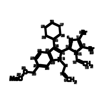 C=CCn1c(-c2nc(Br)c(Br)n2C=C)c(C2CCCCC2)c2ccc(COOC)cc21